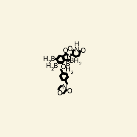 Bc1cc2c(c(OCc3ccc(CN4CCOCC4=O)cc3)c1B)C(B)(B)N(C1CCC(=O)NC1=O)C2=O